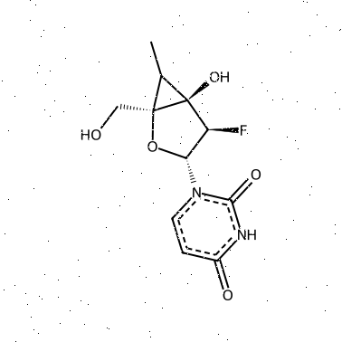 CC1[C@]2(CO)O[C@@H](n3ccc(=O)[nH]c3=O)[C@H](F)[C@@]12O